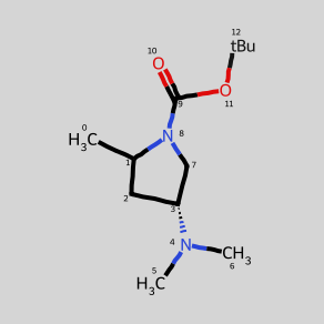 CC1C[C@@H](N(C)C)CN1C(=O)OC(C)(C)C